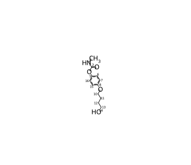 CNC(=O)Oc1ccc(OCCCCO)cc1